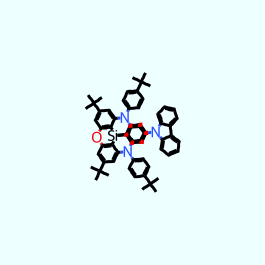 CC(C)(C)c1ccc(N2c3cc(C(C)(C)C)cc4c3[Si]3(c5ccccc5)c5c(cc(C(C)(C)C)cc5N(c5ccc(C(C)(C)C)cc5)c5cc(-n6c7ccccc7c7ccccc76)cc2c53)O4)cc1